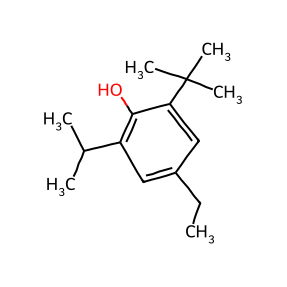 CCc1cc(C(C)C)c(O)c(C(C)(C)C)c1